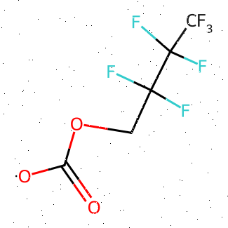 [O]C(=O)OCC(F)(F)C(F)(F)C(F)(F)F